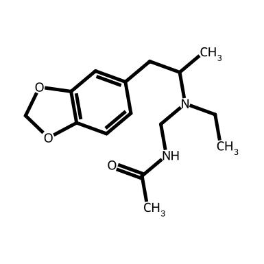 CCN(CNC(C)=O)C(C)Cc1ccc2c(c1)OCO2